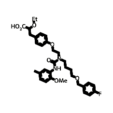 CCOC(Cc1ccc(OCCN(CCCCOCc2ccc(F)cc2)C(=O)Nc2cc(C)ccc2OC)cc1)C(=O)O